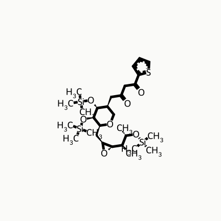 C[C@@H]([C@@H]1O[C@H]1C[C@@H]1OC[C@H](CC(=O)CC(=O)c2cccs2)[C@@H](O[Si](C)(C)C)[C@@H]1O[Si](C)(C)C)[C@H](C)O[Si](C)(C)C